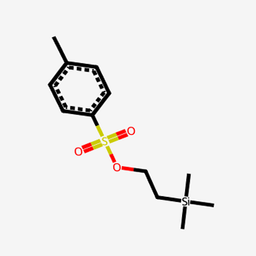 Cc1ccc(S(=O)(=O)OCC[Si](C)(C)C)cc1